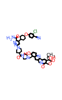 CC[C@@]1(O)C(=O)OCc2c1cc1n(c2=O)Cc2cc3c(CN4CCN(C(=O)C5CCN(c6cc(C7CCC(Oc8ccc(C#N)c(Cl)c8)CC7)c(C(N)=O)nn6)CC5)CC4)c(O)ccc3nc2-1